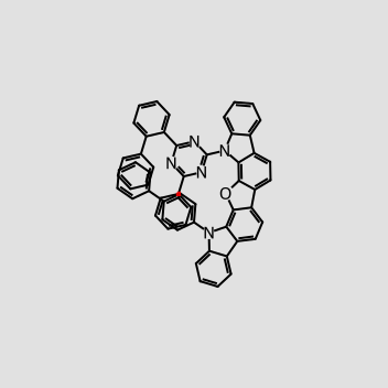 c1ccc(-c2ccc(-n3c4ccccc4c4ccc5c6ccc7c8ccccc8n(-c8nc(-c9ccccc9)nc(-c9ccccc9-c9ccccc9)n8)c7c6oc5c43)cc2)cc1